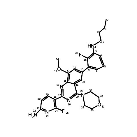 CCCSNc1cccc(-c2cc(OC)c3nc(-c4ccc(N)nc4F)nc(N4CCOCC4)c3c2)c1F